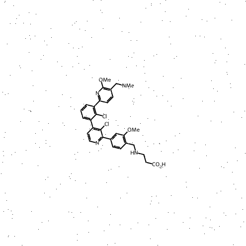 CNCc1ccc(-c2cccc(-c3ccnc(-c4ccc(CNCCC(=O)O)c(OC)c4)c3Cl)c2Cl)nc1OC